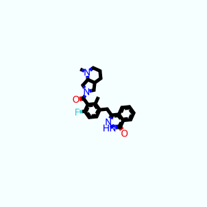 Cc1c(Cc2n[nH]c(=O)c3ccccc23)ccc(F)c1C(=O)N1CC2CCCN(C)C2C1